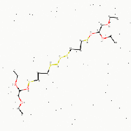 CCOCC(OCC)OSCCCSSSSCCCSOC(COCC)OCC